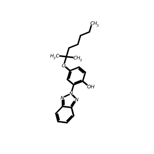 CCCCCC(C)(C)Oc1ccc(O)c(-n2nc3ccccc3n2)c1